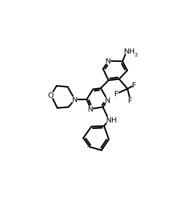 Nc1cc(C(F)(F)F)c(-c2cc(N3CCOCC3)nc(Nc3cc[c]cc3)n2)cn1